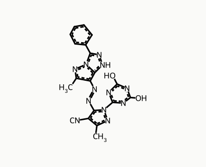 [C-]#[N+]c1c(C)nn(-c2nc(O)nc(O)n2)c1/N=N/c1c(C)nn2c(-c3ccccc3)n[nH]c12